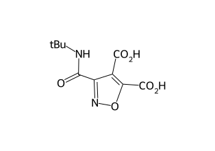 CC(C)(C)NC(=O)c1noc(C(=O)O)c1C(=O)O